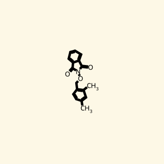 Cc1ccc(CON2C(=O)c3ccccc3C2=O)c(C)c1